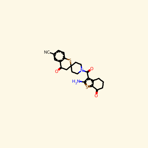 N#Cc1ccc2c(c1)C(=O)CC1(CCN(C(=O)c3c(N)sc4c3CCCC4=O)CC1)S2